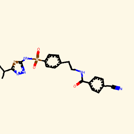 CC(C)c1nnc(NS(=O)(=O)c2ccc(CCNC(=O)c3ccc(C#N)cc3)cc2)s1